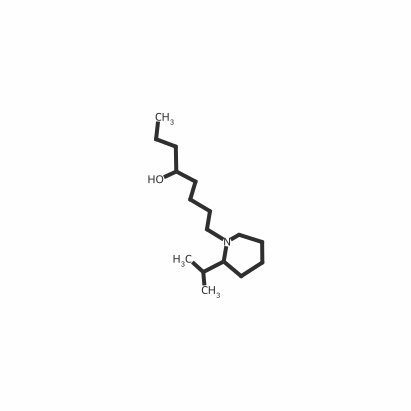 CCCC(O)CCCCN1CCCCC1C(C)C